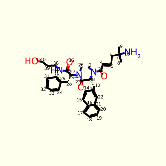 CN(C(=O)C=CCC(C)(C)N)[C@H](Cc1ccc2ccccc2c1)C(=O)N(C)[C@H](Cc1ccccc1)C(=O)NCCCO